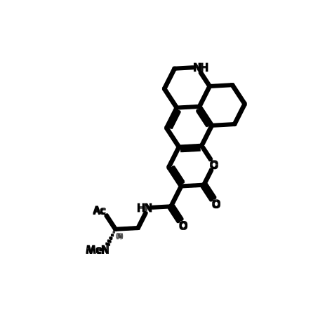 CN[C@@H](CNC(=O)c1cc2cc3c4c(c2oc1=O)CCCC4NCC3)C(C)=O